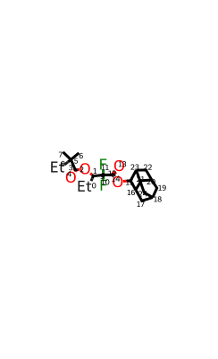 CCC(OC(=O)C(C)(C)CC)C(F)(F)C(=O)OC1C2CC3CC(C2)CC1C3